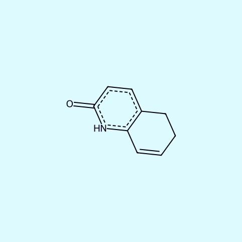 O=c1ccc2c([nH]1)C=CCC2